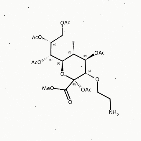 COC(=O)[C@@]1(OC(C)=O)O[C@@H]([C@H](OC(C)=O)[C@@H](COC(C)=O)OC(C)=O)[C@H](C)[C@@H](OC(C)=O)[C@@H]1OCCN